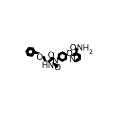 NC(=O)c1cccnc1O[C@H]1CC[C@H](N2C(=O)N[C@@H](CCOCc3ccccc3)C2=O)CC1